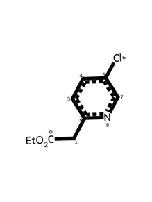 CCOC(=O)Cc1ccc(Cl)cn1